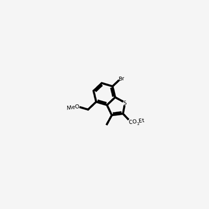 CCOC(=O)c1sc2c(Br)ccc(COC)c2c1C